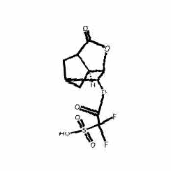 O=C1OC2C(OC(=O)C(F)(F)S(=O)(=O)O)C3CC1[C@@H]2C3